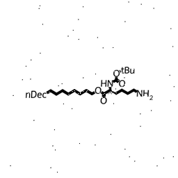 CCCCCCCCCCCCCCCCCCOC(=O)[C@H](CCCCN)NC(=O)OC(C)(C)C